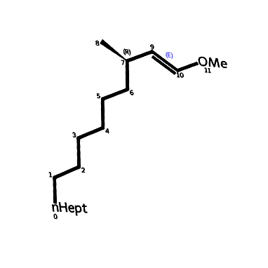 CCCCCCCCCCCCC[C@@H](C)/C=C/OC